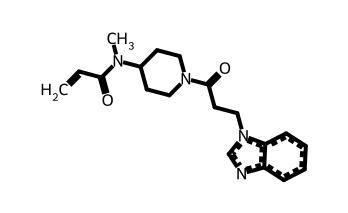 C=CC(=O)N(C)C1CCN(C(=O)CCn2cnc3ccccc32)CC1